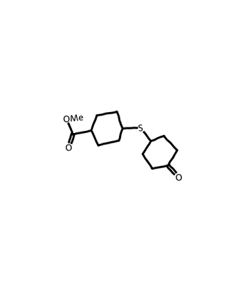 COC(=O)C1CCC(SC2CCC(=O)CC2)CC1